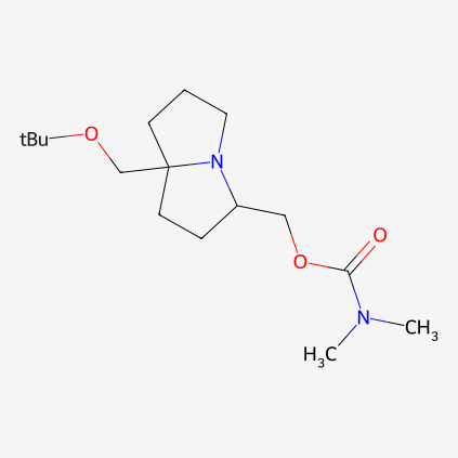 CN(C)C(=O)OCC1CCC2(COC(C)(C)C)CCCN12